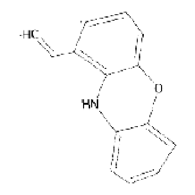 [CH]=Cc1[c]ccc2c1Nc1ccccc1O2